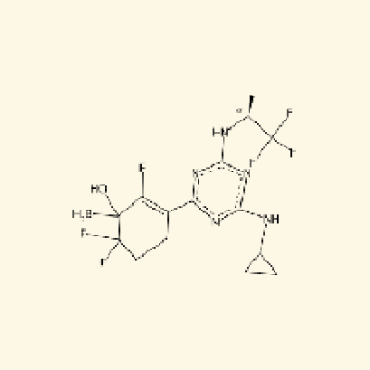 BC1(O)C(F)=C(c2nc(NC3CC3)nc(N[C@@H](C)C(F)(F)F)n2)CCC1(F)F